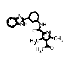 CC(=O)c1c(C)[nH]c(C(=O)NC2CCCC(c3nc4ccccc4[nH]3)C2)c1C